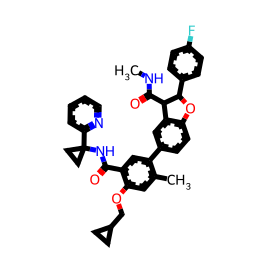 CNC(=O)C1c2cc(-c3cc(C(=O)NC4(c5ccccn5)CC4)c(OCC4CC4)cc3C)ccc2OC1c1ccc(F)cc1